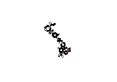 C=CC(=O)N1CCOC[C@@H](S(=O)(=O)c2ccc(N3CC(F)(CN4CCC(C(CN5CCC5)(c5cccc(F)c5)[C@H]5CCC[C@@H]5NC(=O)OC)CC4)C3)c(F)c2)C1